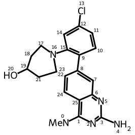 CNc1nc(N)nc2cc(-c3ccc(Cl)cc3N3CCC(O)CC3)ccc12